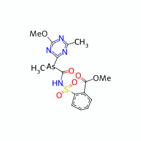 COC(=O)c1ccccc1S(=O)(=O)NC(=O)[As](C)c1nc(C)nc(OC)n1